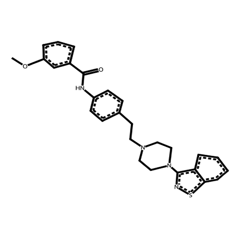 COc1cccc(C(=O)Nc2ccc(CCN3CCN(c4nsc5ccccc45)CC3)cc2)c1